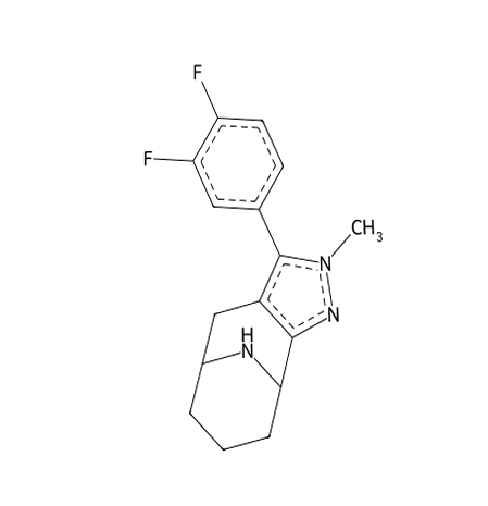 Cn1nc2c(c1-c1ccc(F)c(F)c1)CC1CCCC2N1